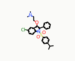 CC(C)c1ccc(S(=O)(=O)n2c(-c3ccccc3)c(OCCN(C)C)c3cc(Cl)ccc32)cc1